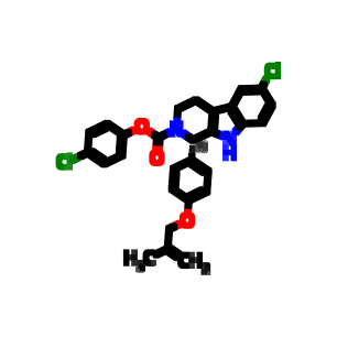 C=C(C)COc1ccc([C@H]2c3[nH]c4ccc(Cl)cc4c3CCN2C(=O)Oc2ccc(Cl)cc2)cc1